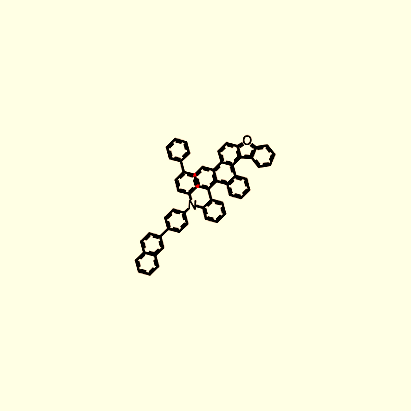 c1ccc(-c2ccc(N(c3ccc(-c4ccc5ccccc5c4)cc3)c3ccccc3-c3cccc4c5ccc6oc7ccccc7c6c5c5ccccc5c34)cc2)cc1